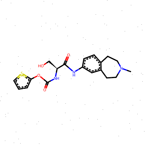 CN1CCc2ccc(NC(=O)[C@H](CO)NC(=O)Oc3cccs3)cc2CC1